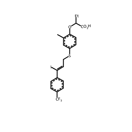 CCC(Oc1ccc(SC/C=C(\I)c2ccc(C(F)(F)F)cc2)cc1C)C(=O)O